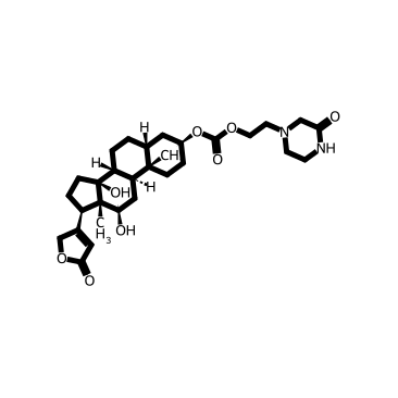 C[C@]12CC[C@H](OC(=O)OCCN3CCNC(=O)C3)C[C@H]1CC[C@@H]1[C@@H]2C[C@@H](O)[C@]2(C)[C@@H](C3=CC(=O)OC3)CC[C@]12O